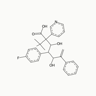 C=C(c1ccccc1)C(O)C(c1ccc(F)cc1)C(O)C(C(=O)O)(c1cccnc1)C(C)(C)C